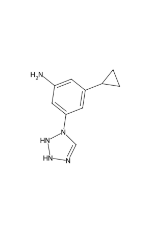 Nc1cc(C2CC2)cc(N2C=NNN2)c1